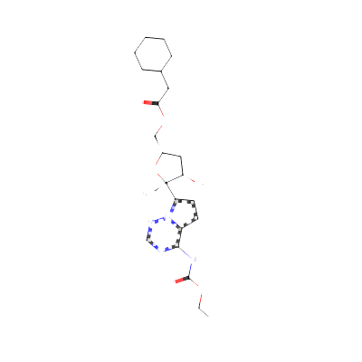 CC(=O)OCOC(=O)Nc1ncnn2c([C@]3(C#N)O[C@@H](COC(=O)CC4CCCCC4)[CH][C@H]3O)ccc12